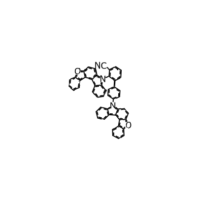 N#Cc1cccc(-c2ccc(-n3c4ccccc4c4c5c(ccc43)oc3ccccc35)cc2)c1-n1c2ccccc2c2c3c(ccc21)oc1ccccc13